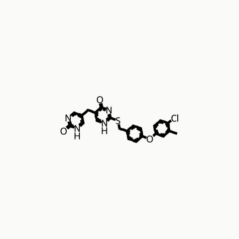 Cc1cc(Oc2ccc(CSc3nc(=O)c(Cc4cnc(=O)[nH]c4)c[nH]3)cc2)ccc1Cl